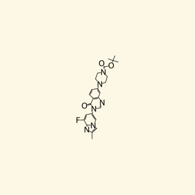 Cc1cn2cc(-n3cnc4cc(N5CCN(C(=O)OC(C)(C)C)CC5)ccc4c3=O)cc(F)c2n1